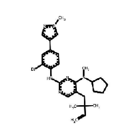 C=CC(C)(C)Cc1cnc(Nc2ccc(-c3cnn(C)c3)cc2CC)nc1N(C)C1CCCC1